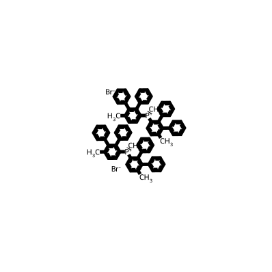 C=[P+](c1ccc(C)c(-c2ccccc2)c1-c1ccccc1)c1ccc(C)c(-c2ccccc2)c1-c1ccccc1.C=[P+](c1ccc(C)c(-c2ccccc2)c1-c1ccccc1)c1ccc(C)c(-c2ccccc2)c1-c1ccccc1.[Br-].[Br-]